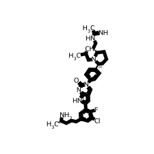 CC(=N)NCC[C@@H]1CCC[C@@H](c2ccc(-n3cc4cc(-c5cc(CCC[C@H](C)N)cc(Cl)c5F)[nH]c4nc3=O)cc2)N1CC(C)C